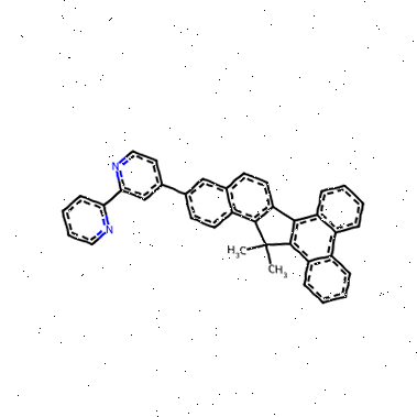 CC1(C)c2c(ccc3cc(-c4ccnc(-c5ccccn5)c4)ccc23)-c2c1c1ccccc1c1ccccc21